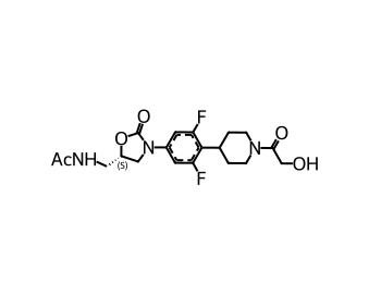 CC(=O)NC[C@H]1CN(c2cc(F)c(C3CCN(C(=O)CO)CC3)c(F)c2)C(=O)O1